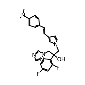 CN(C)c1ccc(C=Cc2ccn(CC(O)(Cn3cncn3)c3ccc(F)cc3F)c2)cc1